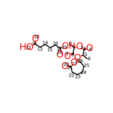 CC1OC(=O)C(C)OC1=O.O=C(O)CCCCC(=O)O.O=C1CCCCCO1